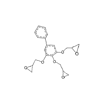 c1ccc(-c2cc(OCC3CO3)c(OCC3CO3)c(OCC3CO3)c2)cc1